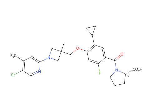 CC1(COc2cc(F)c(C(=O)N3CCC[C@H]3C(=O)O)cc2C2CC2)CN(c2cc(C(F)(F)F)c(Cl)cn2)C1